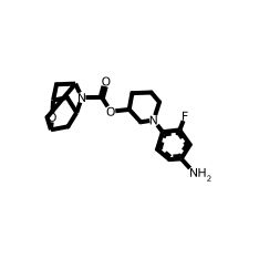 Nc1ccc(N2CCCC(OC(=O)N3C4CC5CC3CC(C4)O5)C2)c(F)c1